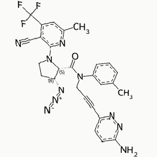 Cc1cccc(N(CC#Cc2ccc(N)nn2)C(=O)[C@@H]2[C@H](N=[N+]=[N-])CCN2c2nc(C)cc(C(F)(F)F)c2C#N)c1